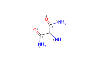 [NH]C(C(N)=O)C(N)=O